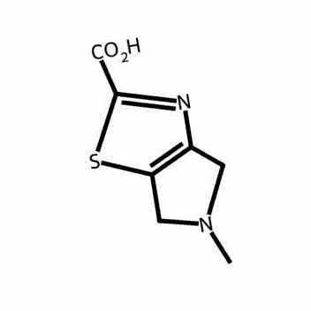 CN1Cc2nc(C(=O)O)sc2C1